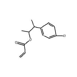 C=CC(=O)OC(C)C(C)c1ccc(Cl)cc1